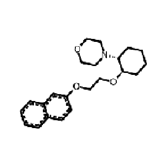 c1ccc2cc(OCCO[C@@H]3CCCC[C@H]3N3CCOCC3)ccc2c1